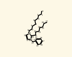 CCCCCCCCCN1C=CN(Cc2ccccc2)C1CCCCCCC